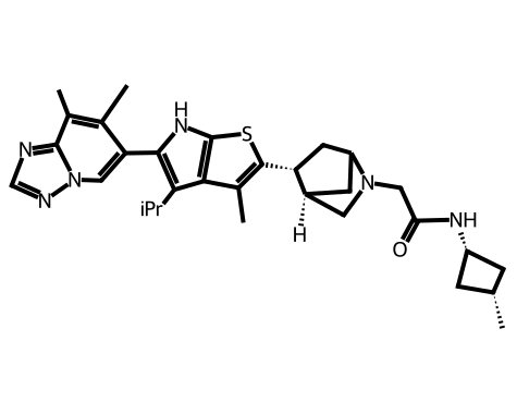 Cc1c(-c2[nH]c3sc([C@@H]4CC5C[C@H]4CN5CC(=O)N[C@H]4C[C@@H](C)C4)c(C)c3c2C(C)C)cn2ncnc2c1C